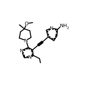 CCc1ncnc(N2CCC(C)(OC)CC2)c1C#Cc1ccc(N)nc1